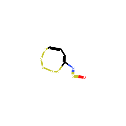 O=S=Nc1cccsssss1